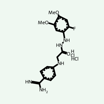 COc1cc(F)c(NNC(=O)CNc2ccc(C(=N)N)cc2)cc1OC.Cl.Cl